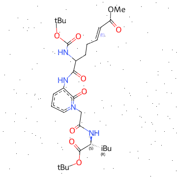 CC[C@@H](C)[C@H](NC(=O)Cn1cccc(NC(=O)C(CC/C=C/C(=O)OC)NC(=O)OC(C)(C)C)c1=O)C(=O)OC(C)(C)C